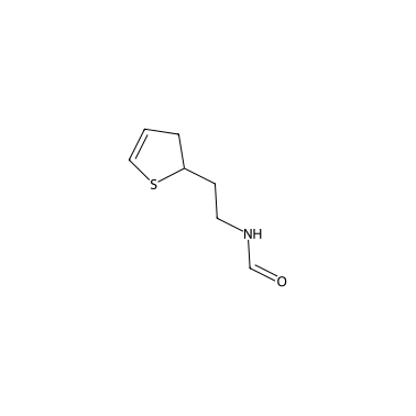 O=CNCCC1CC=CS1